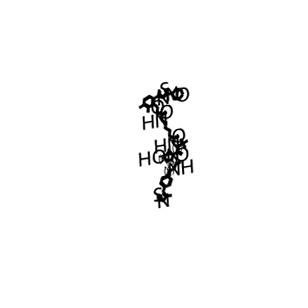 C=C(N[C@@H](C)c1ccc(-c2scnc2C)cc1)[C@@H]1C[C@@H](O)CN1C(=O)[C@@H](NC(=O)CCCCNC(=O)COc1c(-c2csc(N3CCOCC3)n2)ccc(C)c1C)C(C)(C)C